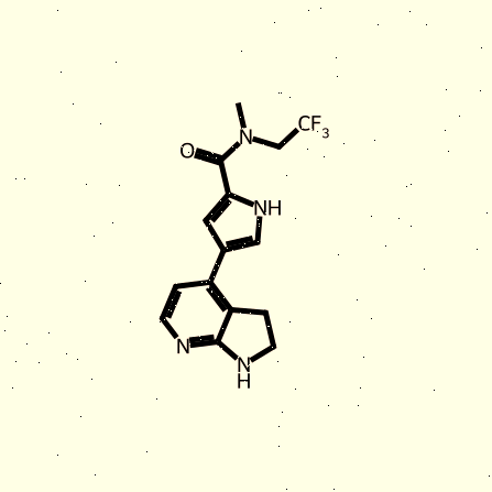 CN(CC(F)(F)F)C(=O)c1cc(-c2ccnc3c2CCN3)c[nH]1